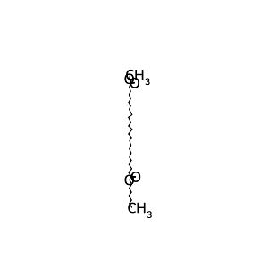 CCCCCCCOC(=O)CCCCCCCCCCCCCCCCCCCCCCCC(=O)OC